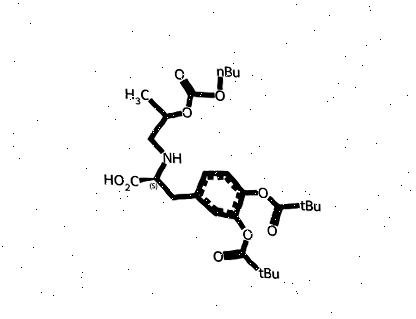 CCCCOC(=O)OC(C)CN[C@@H](Cc1ccc(OC(=O)C(C)(C)C)c(OC(=O)C(C)(C)C)c1)C(=O)O